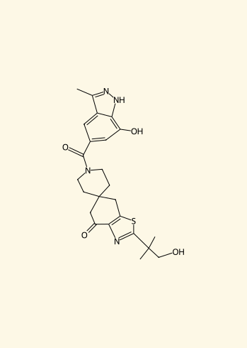 Cc1n[nH]c2c(O)cc(C(=O)N3CCC4(CC3)CC(=O)c3nc(C(C)(C)CO)sc3C4)cc12